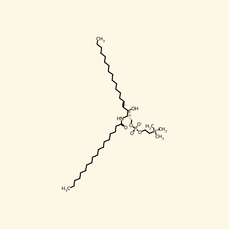 CCCCCCCCCCCCCC/C=C/[C@@H](O)[C@H](COP(=O)([O-])OCC[N+](C)(C)C)NC(=O)CCCCCCCCCCCCCCCCC